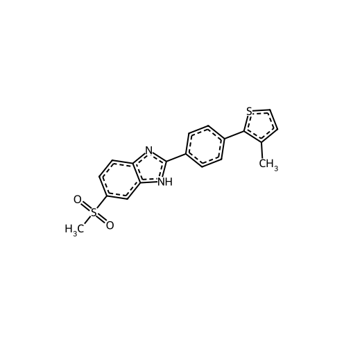 Cc1ccsc1-c1ccc(-c2nc3ccc(S(C)(=O)=O)cc3[nH]2)cc1